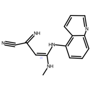 CN/C(=C/C(=N)C#N)Nc1cccc2ncccc12